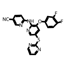 N#Cc1ccc(Nc2ncc(Sc3ncccn3)cc2Oc2ccc(F)c(F)c2)nc1